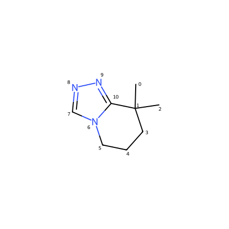 CC1(C)CCCn2cnnc21